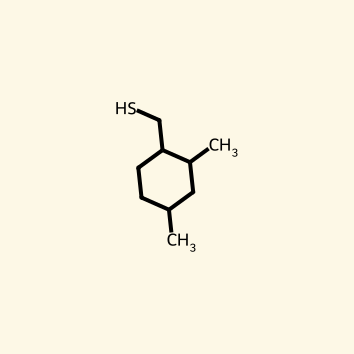 CC1CCC(CS)C(C)C1